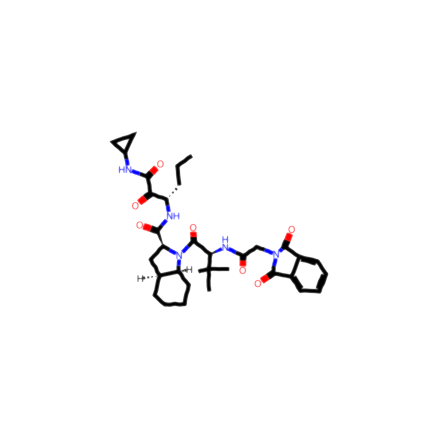 CCC[C@H](NC(=O)[C@@H]1C[C@@H]2CCCC[C@@H]2N1C(=O)[C@@H](NC(=O)CN1C(=O)c2ccccc2C1=O)C(C)(C)C)C(=O)C(=O)NC1CC1